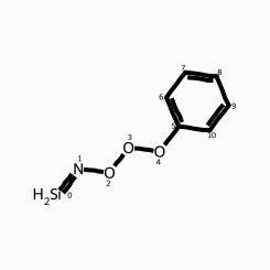 [SiH2]=NOOOc1ccccc1